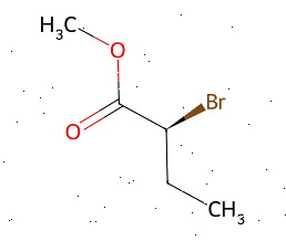 CC[C@H](Br)C(=O)OC